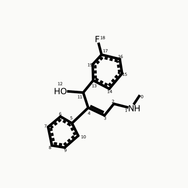 CNCC=C(c1ccccc1)C(O)c1cccc(F)c1